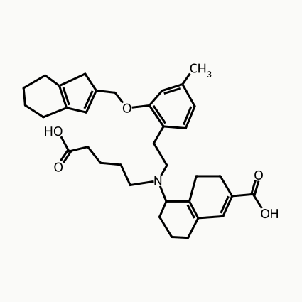 Cc1ccc(CCN(CCCCC(=O)O)C2CCCC3=C2CCC(C(=O)O)=C3)c(OCC2=CC3=C(CCCC3)C2)c1